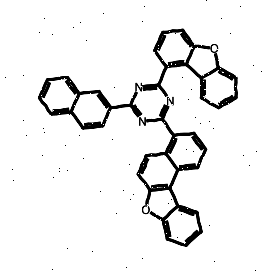 c1ccc2cc(-c3nc(-c4cccc5c4ccc4oc6ccccc6c45)nc(-c4cccc5oc6ccccc6c45)n3)ccc2c1